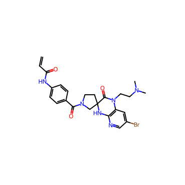 C=CC(=O)Nc1ccc(C(=O)N2CCC3(C2)Nc2ncc(Br)cc2N(CCN(C)C)C3=O)cc1